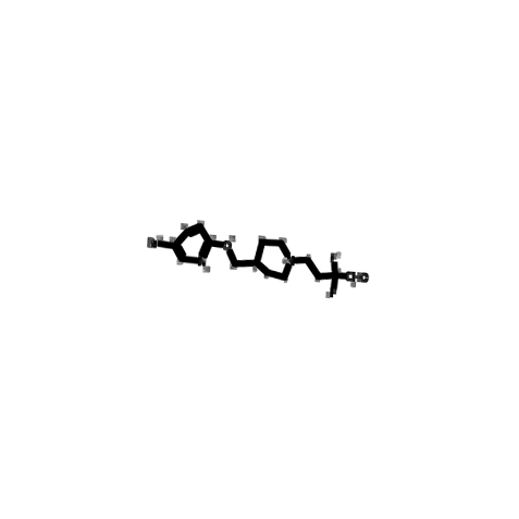 O=CC(F)(F)CCN1CCC(COc2ccc(Br)cn2)CC1